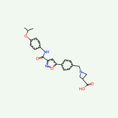 CC(C)Oc1ccc(NC(=O)c2cc(-c3ccc(CN4CC(C(=O)O)C4)cc3)on2)cc1